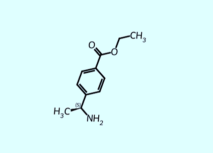 CCOC(=O)c1ccc([C@H](C)N)cc1